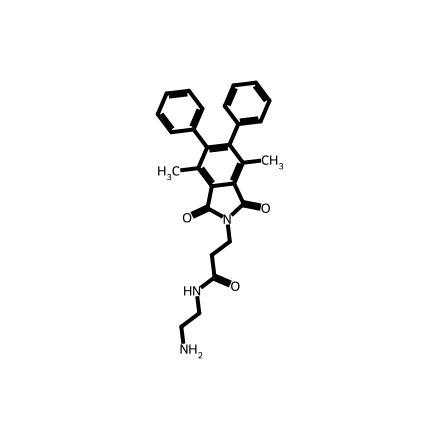 Cc1c2c(c(C)c(-c3ccccc3)c1-c1ccccc1)C(=O)N(CCC(=O)NCCN)C2=O